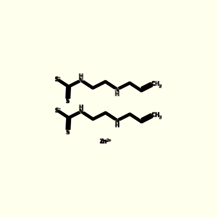 C=CCNCCNC(=S)[S-].C=CCNCCNC(=S)[S-].[Zn+2]